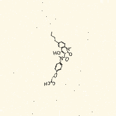 CCCCc1ccc2c(c1)c(O)c(C(=O)N(C)c1ccc(OCC(=O)O)cc1)c(=O)n2C